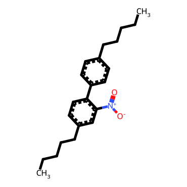 CCCCCc1ccc(-c2ccc(CCCCC)cc2[N+](=O)[O-])cc1